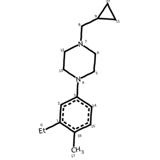 CCc1cc(N2CCN(CC3CC3)CC2)ccc1C